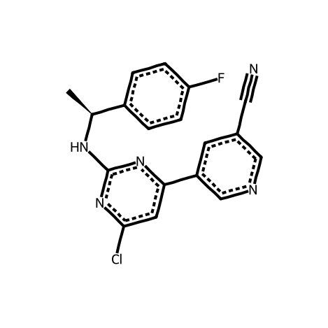 C[C@H](Nc1nc(Cl)cc(-c2cncc(C#N)c2)n1)c1ccc(F)cc1